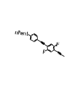 CC#Cc1cc(F)c(C#Cc2ccc(CCCCC)cc2)cc1F